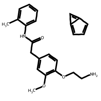 COc1cc(CC(=O)Nc2ccccc2C)ccc1OCCN.c1cc2cc-2c1